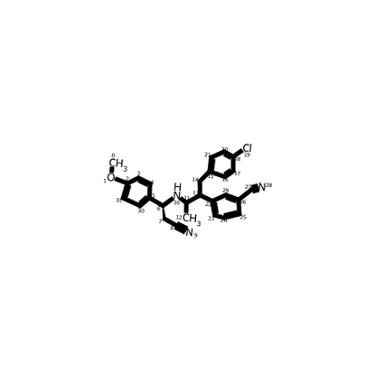 COc1ccc([C@H](CC#N)NC(C)C(Cc2ccc(Cl)cc2)c2cccc(C#N)c2)cc1